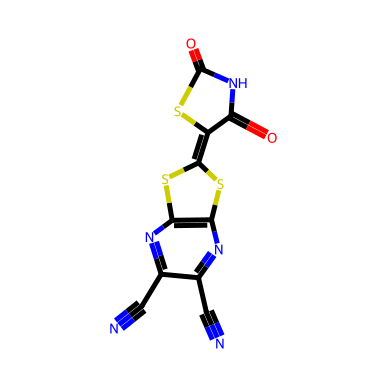 N#Cc1nc2c(nc1C#N)SC(=C1SC(=O)NC1=O)S2